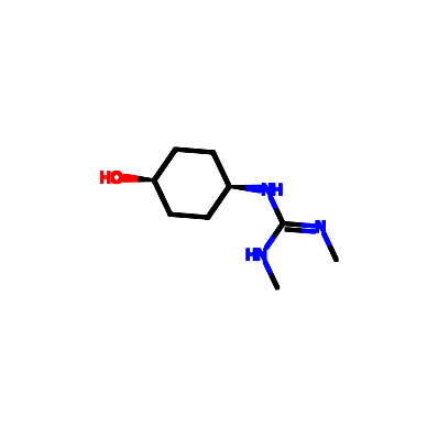 C/N=C(\NC)N[C@H]1CC[C@@H](O)CC1